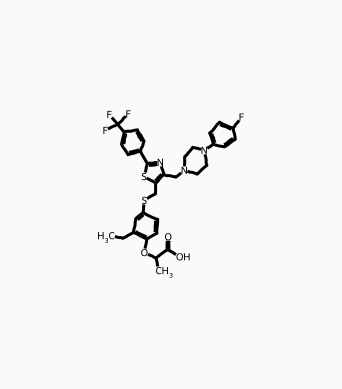 CCc1cc(SCc2sc(-c3ccc(C(F)(F)F)cc3)nc2CN2CCN(c3ccc(F)cc3)CC2)ccc1OC(C)C(=O)O